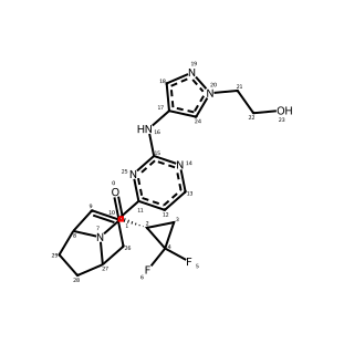 O=C([C@@H]1CC1(F)F)N1C2C=C(c3ccnc(Nc4cnn(CCO)c4)n3)CC1CC2